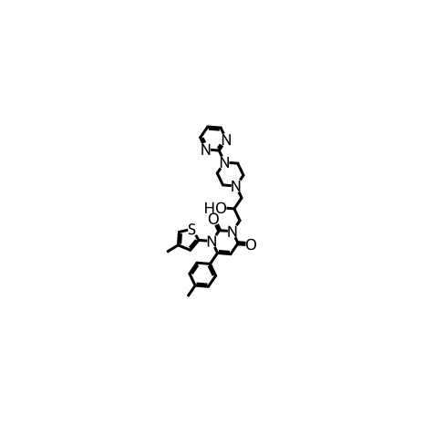 Cc1ccc(-c2cc(=O)n(CC(O)CN3CCN(c4ncccn4)CC3)c(=O)n2-c2cc(C)cs2)cc1